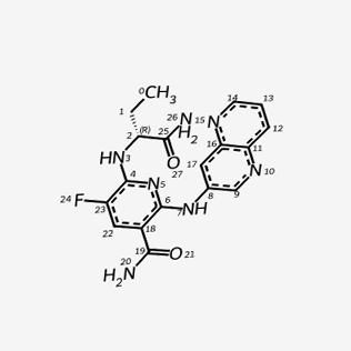 CC[C@@H](Nc1nc(Nc2cnc3cccnc3c2)c(C(N)=O)cc1F)C(N)=O